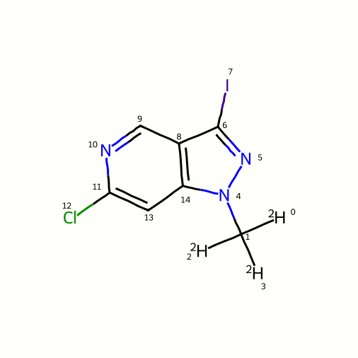 [2H]C([2H])([2H])n1nc(I)c2cnc(Cl)cc21